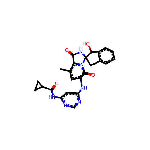 Cc1cc(Nc2cc(NC(=O)C3CC3)ncn2)c(=O)n2c1C(=O)NC21Cc2ccccc2C1O